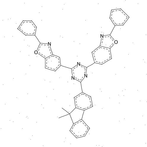 CC1(C)c2ccccc2-c2ccc(-c3nc(-c4ccc5oc(-c6ccccc6)nc5c4)nc(-c4ccc5oc(-c6ccccc6)nc5c4)n3)cc21